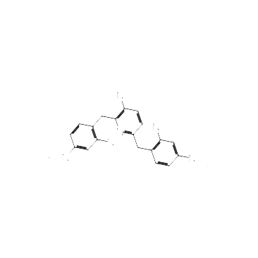 O=[N+]([O-])c1ccc(Cc2ccc([N+](=O)[O-])c(Cc3ccc([N+](=O)[O-])cc3[N+](=O)[O-])n2)c([N+](=O)[O-])c1